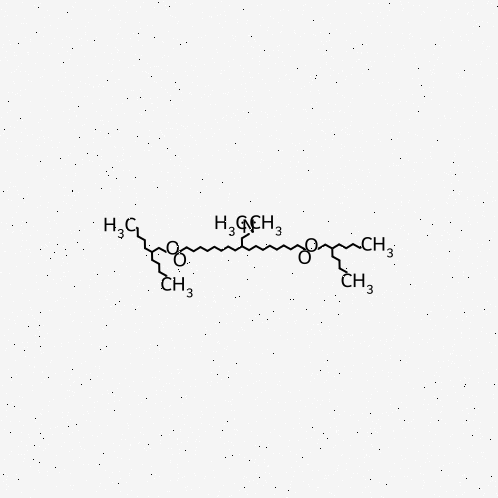 CCCCCC(CCCCC)CCOC(=O)CCCCCCCCC(CCCCCCCCC(=O)OCCC(CCCCC)CCCCC)CCN(C)C